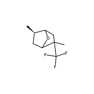 C[C@@H]1CC2OC1CC2(C)C(F)(F)F